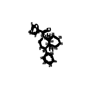 O=C(c1cnco1)N1CC[C@H](c2ccccc2)[C@H]2CCCC[C@H]21